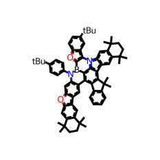 CC(C)(C)c1ccc(N2B3c4oc5ccc(C(C)(C)C)cc5c4-n4c5cc6c(cc5c5c7c(c(c3c54)-c3cc4c(cc32)oc2cc3c(cc24)C(C)(C)CCC3(C)C)-c2ccccc2C7(C)C)C(C)(C)CCC6(C)C)cc1